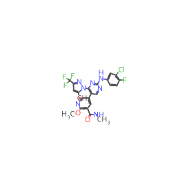 CNC(=O)c1cc(-c2cnc(Nc3ccc(F)c(Cl)c3)nc2-n2nc(C(F)(F)F)cc2C)cnc1OC